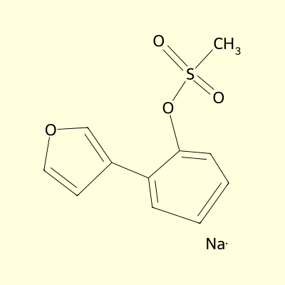 CS(=O)(=O)Oc1ccccc1-c1ccoc1.[Na]